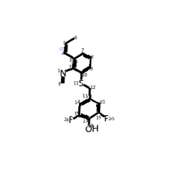 C=Nc1c(/C=C\C)cccc1SCc1cc(F)c(O)c(F)c1